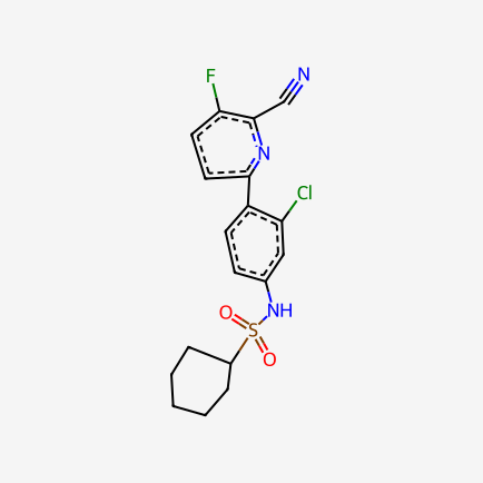 N#Cc1nc(-c2ccc(NS(=O)(=O)C3CCCCC3)cc2Cl)ccc1F